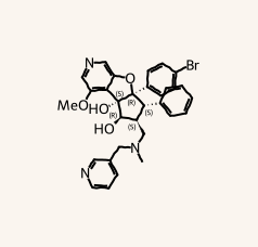 COc1cncc2c1[C@]1(O)[C@H](O)[C@H](CN(C)Cc3cccnc3)[C@@H](c3ccccc3)[C@]1(c1ccc(Br)cc1)O2